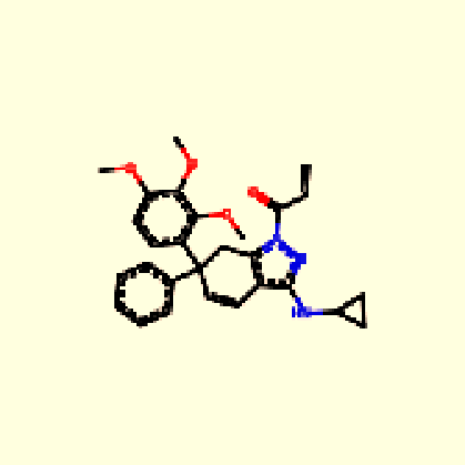 C=CC(=O)n1nc(NC2CC2)c2c1CC(c1ccccc1)(c1ccc(OC)c(OC)c1OC)C=C2